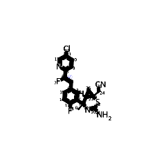 C[C@]1(c2cc(/C=C(\F)c3ccc(Cl)cn3)ccc2F)N=C(N)S[C@@]2(CC#N)C[C@H]21